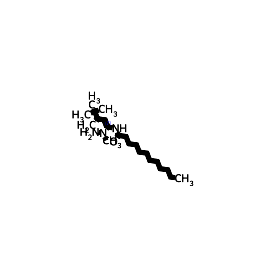 C=C(/C=C(/NC(=O)CCCCCCCCCCC)N(C)N)C(C)(C)C